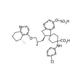 C[C@@H](COc1ccnc2c1[C@H](C)CCC2)C[C@H]1Cc2ccc(OS(=O)(=O)O)cc2C12CCC(Nc1cccc(Cl)c1)(C(=O)O)CC2